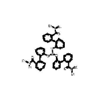 CCN(CC)C(=O)c1ccccc1-c1ccccc1OB(Oc1ccccc1-c1ccccc1C(=O)N(CC)CC)Oc1ccccc1-c1ccccc1C(=O)N(CC)CC